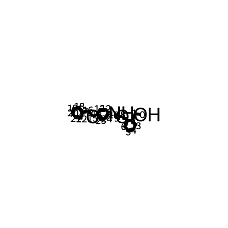 OCc1ccccc1OCNc1ccc(OCc2ccccc2)cc1